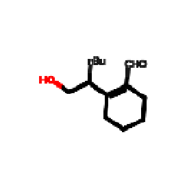 CCCCC(CO)C1=C(C=O)CCCC1